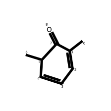 CC1=C[C]=CC(C)C1=O